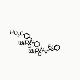 CC/C(=C\c1ccccc1)C1CC1N(C[C@H]1CC[C@H](N(Cc2ccc(C(=O)O)cc2)C(=O)OC(C)(C)C)CC1)C(=O)OC(C)(C)C